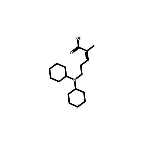 CC(=CCCN(C1CCCCC1)C1CCCCC1)C(=O)O